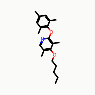 CCCCCOc1c(C)cnc(Oc2c(C)cc(C)cc2C)c1C